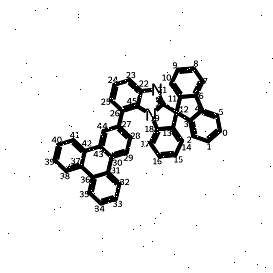 c1ccc2c(c1)-c1ccccc1C21c2ccccc2-n2c1nc1cccc(-c3ccc4c5ccccc5c5ccccc5c4c3)c12